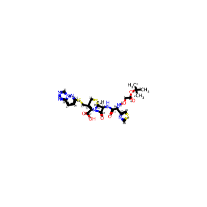 CC(C)(C)OC(=O)CON=C(C(=O)NC1C(=O)N2C(C(=O)O)=C(CSc3ccc4nncn4n3)CS[C@@H]12)c1cscn1